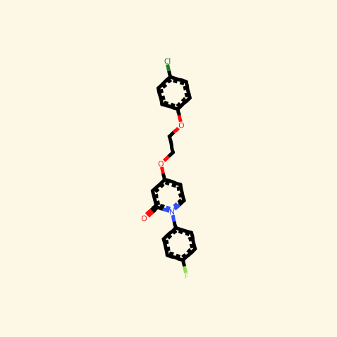 O=c1cc(OCCOc2ccc(Cl)cc2)ccn1-c1ccc(F)cc1